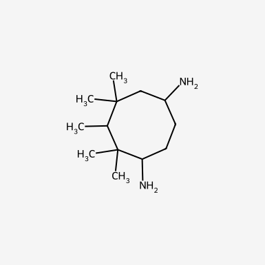 CC1C(C)(C)CC(N)CCC(N)C1(C)C